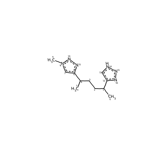 CC(CCC(C)c1cn(C)nn1)c1c[nH]nn1